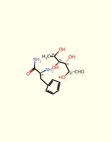 C[C@@H](O)[C@H](O)[C@H](O)[C@@H](O)C=O.NC(=O)[C@@H](N)Cc1ccccc1